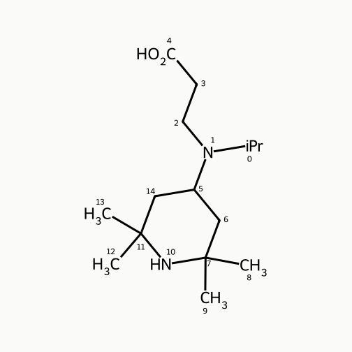 CC(C)N(CCC(=O)O)C1CC(C)(C)NC(C)(C)C1